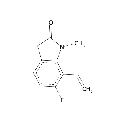 C=Cc1c(F)ccc2c1N(C)C(=O)C2